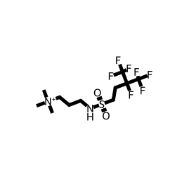 C[N+](C)(C)CCCNS(=O)(=O)CCC(F)(C(F)(F)F)C(F)(F)F